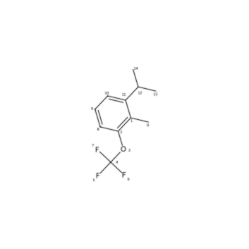 Cc1c(OC(F)(F)F)cccc1C(C)C